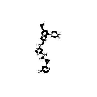 O=C(Nc1cc(NCc2cn3cc(C4CC4)cc(N4CCS(=O)(=O)CC4)c3n2)ncn1)[C@H]1C[C@@H]1c1cc(Cl)ccn1